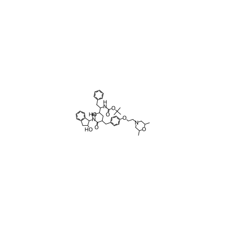 CC1CN(CCOc2ccc(CC(CC(O)C(Cc3ccccc3)NC(=O)OC(C)(C)C)C(=O)NC3c4ccccc4CC3O)cc2)CC(C)O1